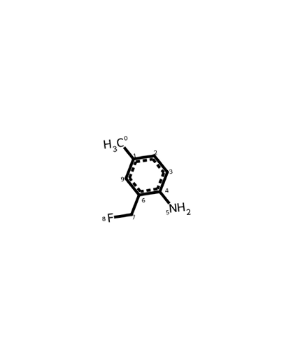 Cc1ccc(N)c(CF)c1